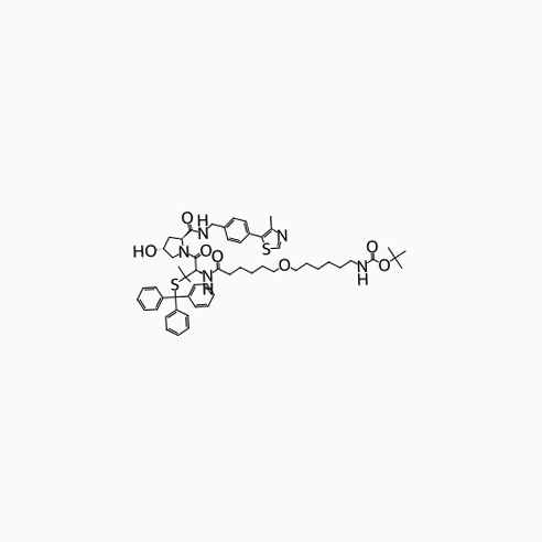 Cc1ncsc1-c1ccc(CNC(=O)[C@@H]2C[C@@H](O)CN2C(=O)[C@@H](NC(=O)CCCCCOCCCCCCNC(=O)OC(C)(C)C)C(C)(C)SC(c2ccccc2)(c2ccccc2)c2ccccc2)cc1